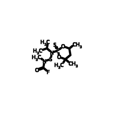 CC1CC(C)(C)OP(=S)(N(SN(C)C(=O)F)C(C)C)O1